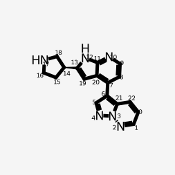 c1cnn2ncc(-c3ccnc4[nH]c([C@H]5CCNC5)cc34)c2c1